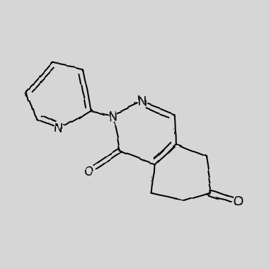 O=C1CCc2c(cnn(-c3ccccn3)c2=O)C1